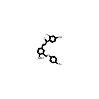 COc1ccc(/C=C/C(=O)c2ccc(O)cc2O)cc1COc1ccc(C(C)(C)C)cc1